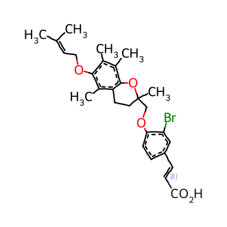 CC(C)=CCOc1c(C)c(C)c2c(c1C)CCC(C)(COc1ccc(/C=C/C(=O)O)cc1Br)O2